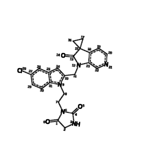 O=C1CNC(=O)N1CCn1c(CN2C(=O)C3(CC3)c3ccncc32)cc2cc(Cl)ccc21